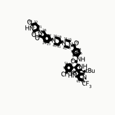 CC(C)(C)C[C@@H]1N[C@@H](C(=O)NC23CCC(C(=O)N4CCN(C5CCN(c6ccc7c(c6)CN(C6CCC(=O)NC6=O)C7=O)CC5)CC4)(CC2)CC3)[C@H](c2cccc(Cl)c2F)[C@]12CNc1cc(C(F)(F)F)ncc12